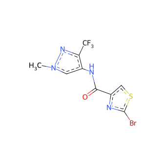 Cn1cc(NC(=O)c2csc(Br)n2)c(C(F)(F)F)n1